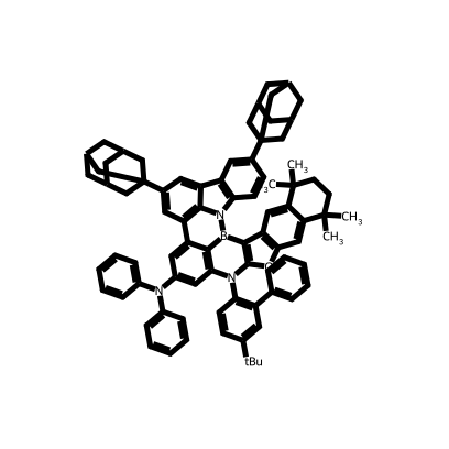 CC(C)(C)c1ccc(N2c3cc(N(c4ccccc4)c4ccccc4)cc4c3B(c3c2oc2cc5c(cc32)C(C)(C)CCC5(C)C)n2c3ccc(C56CC7CC(CC(C7)C5)C6)cc3c3cc(C56CC7CC(CC(C7)C5)C6)cc-4c32)c(-c2ccccc2)c1